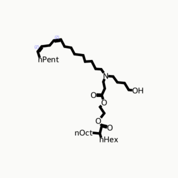 CCCCC/C=C\C/C=C\CCCCCCCCN(CCCCO)CCC(=O)OCCOC(=O)C(CCCCCC)CCCCCCCC